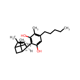 CCCCCc1cc(O)c([C@@H]2C=C(C)C3CC2C3(C)C)c(O)c1C